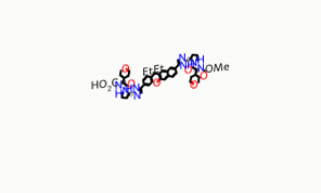 CCC1(CC)c2ccc(-c3cnc([C@@H]4CCCN4C(=O)[C@H](NC(=O)O)C4CCOCC4)[nH]3)cc2Oc2cc3ccc(-c4cnc([C@@H]5CCCN5C(=O)[C@@H](NC(=O)OC)C5CCOCC5)[nH]4)cc3cc21